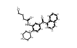 O=C(CCCCl)Nc1cc(C(=O)c2nncc3ccccc23)ccc1N1CCOCC1